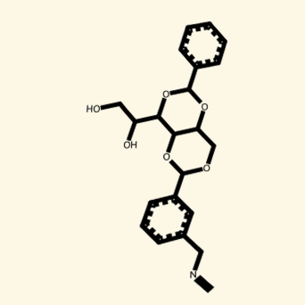 C=NCc1cccc(C2OCC3OC(c4ccccc4)OC(C(O)CO)C3O2)c1